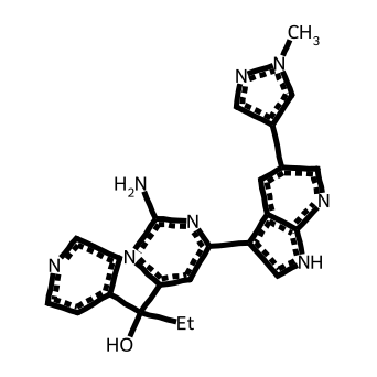 CCC(O)(c1ccncc1)c1cc(-c2c[nH]c3ncc(-c4cnn(C)c4)cc23)nc(N)n1